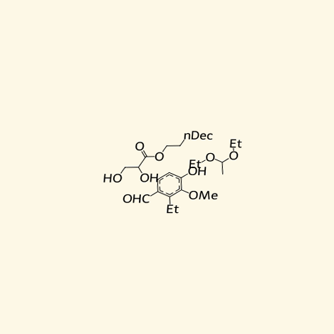 CCCCCCCCCCCCOC(=O)C(O)CO.CCOC(C)OCC.CCc1c(C=O)ccc(O)c1OC